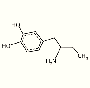 CCC(N)Cc1ccc(O)c(O)c1